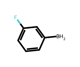 Bc1cccc(F)c1